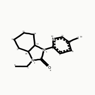 CCN1C(=O)N(c2ccc(I)cn2)C2CCCCC21